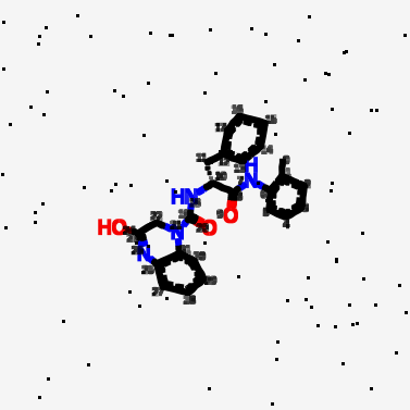 Cc1ccccc1NC(=O)[C@@H](Cc1ccccc1)NC(=O)N1CC(O)=Nc2ccccc21